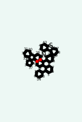 c1ccc(-c2ccccc2-c2ccccc2-c2ccccc2N(c2ccc3c(c2)-c2ccccc2C32CCCC2)c2cccc3sc4ccccc4c23)cc1